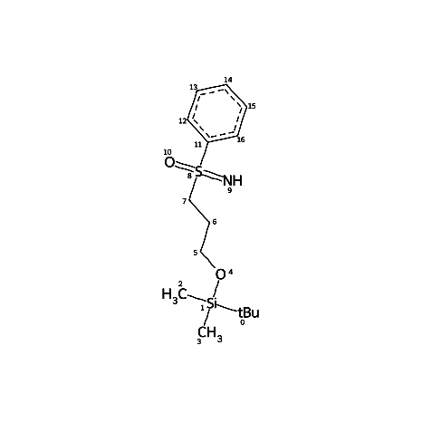 CC(C)(C)[Si](C)(C)OCCCS(=N)(=O)c1ccccc1